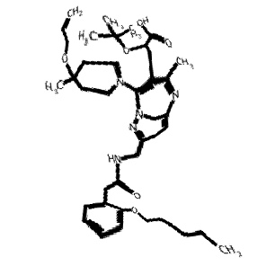 C=CCOC1(C)CCN(c2c(C(OC(C)(C)C)C(=O)O)c(C)nc3cc(CNC(=O)Cc4ccccc4OCCCCC)nn23)CC1